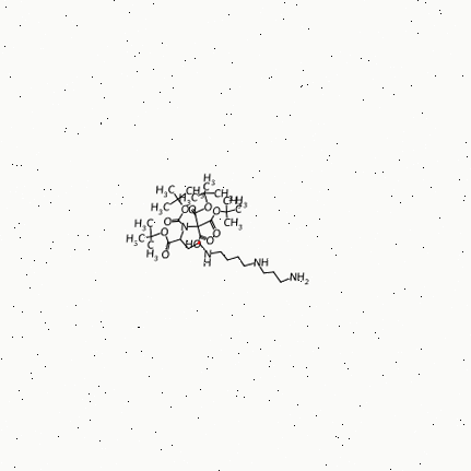 CC(C)(C)OC(=O)C(CCNCCCCNCCCN)N(C(=O)OC(C)(C)C)C(C(=O)O)(C(=O)OC(C)(C)C)C(=O)OC(C)(C)C